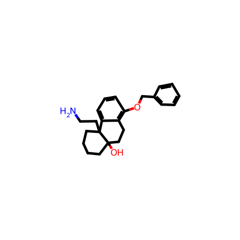 NCCC12CCCCC1(O)CCc1c(OCc3ccccc3)cccc12